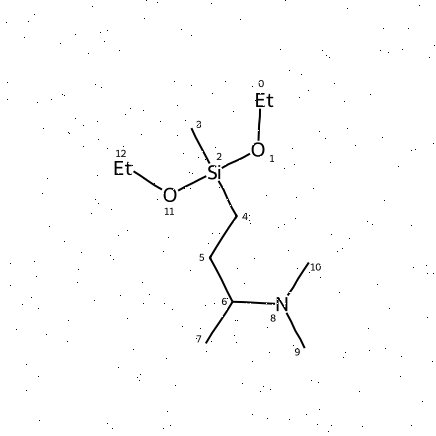 CCO[Si](C)(CCC(C)N(C)C)OCC